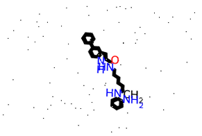 C=C(CCCCCNC(=O)c1cc2cc(-c3ccccc3)ccc2[nH]1)Nc1ccccc1N